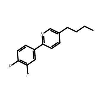 CCCCc1ccc(-c2ccc(F)c(F)c2)nc1